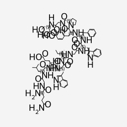 CC[C@H](C)[C@H](NC(=O)[C@H](Cc1c[nH]c2ccccc12)NC(=O)[C@H](CCC(=O)O)NC(=O)[C@H](CC(C)C)NC(=O)CNC(=O)[C@@H](N)CCC(N)=O)C(=O)NCC(=O)N[C@@H](Cc1c[nH]c2ccccc12)C(=O)N[C@@H](Cc1ccccc1)C(=O)N[C@@H](Cc1ccc(O)cc1)C(=O)N1CCC[C@H]1C(=O)NCC(=O)N[C@@H](CO)C(=O)O